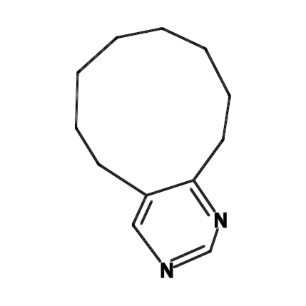 c1ncc2c(n1)CCCCCCCC2